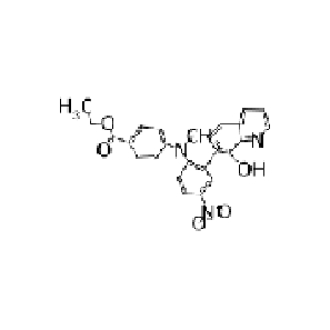 CCOC(=O)c1ccc(N(C)c2ccc([N+](=O)[O-])cc2-c2ccc3cccnc3c2O)cc1